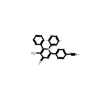 Cc1c(-c2ccccc2)n(-c2ccccc2)c(-c2ccc(C#N)cc2)cc1=O